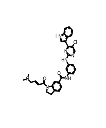 CN(C)C/C=C/C(=O)N1CCc2ccc(C(=O)Nc3cccc(Nc4ncc(Cl)c(-c5c[nH]c6ccccc56)n4)c3)cc21